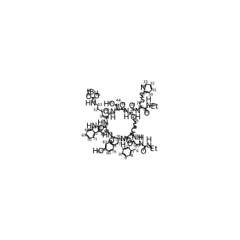 CCNC(=O)N[C@H](Cc1ccccc1)C(=O)N[C@H]1CSSC[C@@H](C(=O)N[C@@H](CSSc2ccccn2)C(=O)NCC)NC(=O)[C@H]([C@@H](C)O)NC(=O)[C@H](CCCCNC(=O)OC(C)(C)C)NC(=O)[C@@H](Cc2c[nH]c3ccccc23)NC(=O)[C@H](Cc2ccc(O)cc2)NC1=O